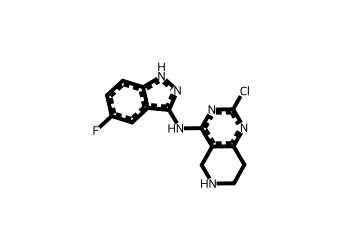 Fc1ccc2[nH]nc(Nc3nc(Cl)nc4c3CNCC4)c2c1